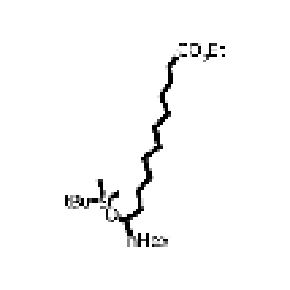 CCCCCCC(CCCCCCCCCCC(=O)OCC)O[Si](C)(C)C(C)(C)C